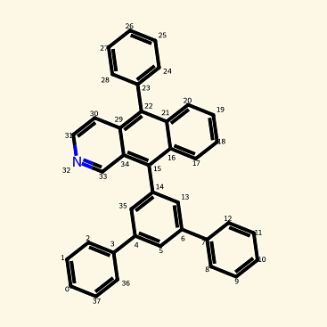 c1ccc(-c2cc(-c3ccccc3)cc(-c3c4ccccc4c(-c4ccccc4)c4ccncc34)c2)cc1